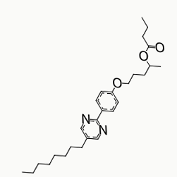 CCCCCCCCc1cnc(-c2ccc(OCCCC(C)OC(=O)CCC)cc2)nc1